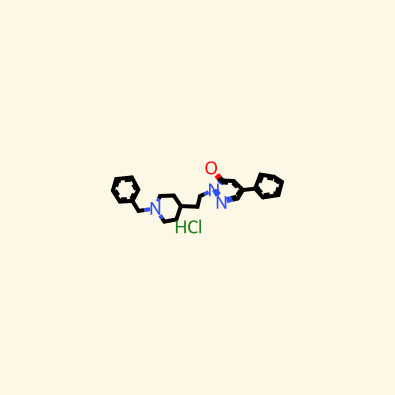 Cl.O=c1cc(-c2ccccc2)cnn1CCC1CCN(Cc2ccccc2)CC1